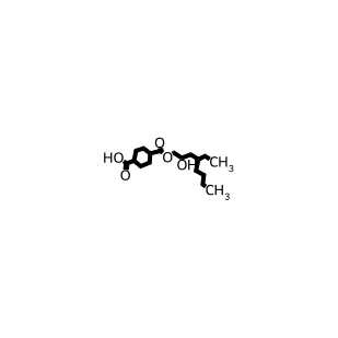 CCCCC(CC)CC(O)COC(=O)C1CCC(C(=O)O)CC1